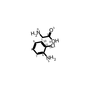 NCC(=O)O.Nc1ccccc1Cl